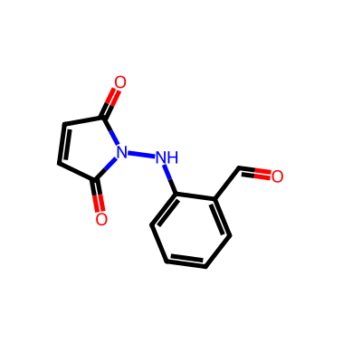 O=Cc1ccccc1NN1C(=O)C=CC1=O